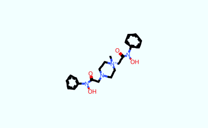 C[N+]1(CC(=O)N(O)c2ccccc2)CCN(CC(=O)N(O)c2ccccc2)CC1